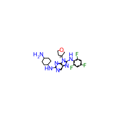 NC1CCC(Nc2ncc3nc(Nc4c(F)cc(F)cc4F)n([C@@H]4CCOC4)c3n2)CC1